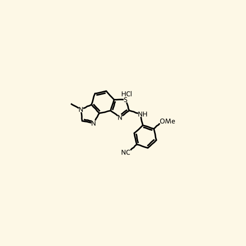 COc1ccc(C#N)cc1Nc1nc2c(ccc3c2ncn3C)s1.Cl